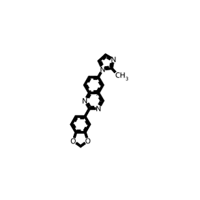 Cc1nccn1-c1ccc2nc(-c3ccc4c(c3)OCO4)ncc2c1